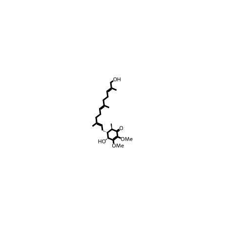 COC1=C(OC)[C@H](O)[C@H](C/C=C(\C)CC/C=C(\C)CC/C=C(\C)CO)[C@@H](C)C1=O